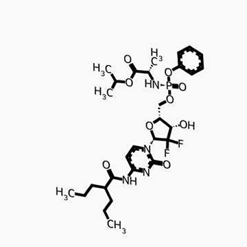 CCCC(CCC)C(=O)Nc1ccn([C@@H]2O[C@H](CO[P@@](=O)(N[C@@H](C)C(=O)OC(C)C)Oc3ccccc3)[C@H](O)C2(F)F)c(=O)n1